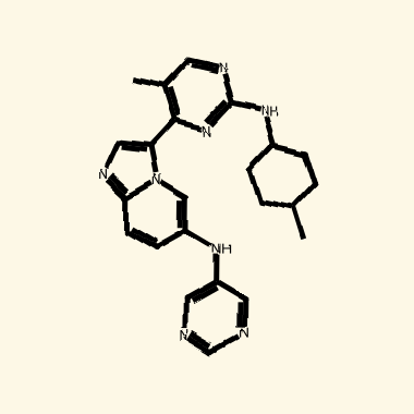 Cc1cnc(NC2CCC(C)CC2)nc1-c1cnc2ccc(Nc3cncnc3)cn12